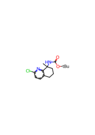 CC(C)(C)OC(=O)NC1(C)CCCc2ccc(Cl)nc21